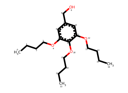 CCCCOc1cc(CO)cc(OCCCC)c1OCCCC